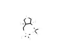 CC(C)[Si]1(C(C)C)OC[C@@H]2CNC[C@H]2O[Si](C(C)C)(C(C)C)O1